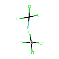 Cl[Si](Cl)(Cl)Cl.FC(Cl)(Cl)Cl